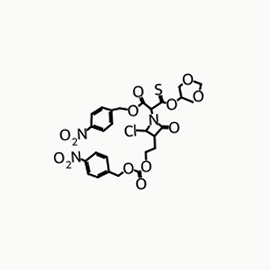 O=C(OCCC1C(=O)N(C(C(=O)OCc2ccc([N+](=O)[O-])cc2)C(=S)OC2COCOC2)C1Cl)OCc1ccc([N+](=O)[O-])cc1